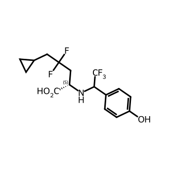 O=C(O)[C@H](CC(F)(F)CC1CC1)NC(c1ccc(O)cc1)C(F)(F)F